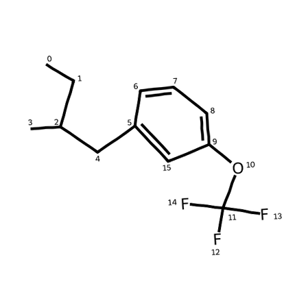 CCC(C)Cc1cccc(OC(F)(F)F)c1